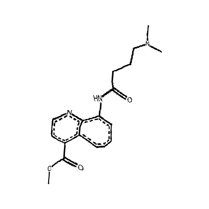 COC(=O)c1ccnc2c(NC(=O)CCCN(C)C)cccc12